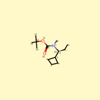 CC[C@@H](C1CCC1)N(C)C(=O)OC(C)(C)C